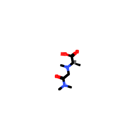 C[C@@H](C(=O)O)N(C)CC(=O)N(C)C